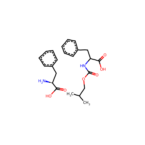 CC(C)COC(=O)NC(Cc1ccccc1)C(=O)O.N[C@@H](Cc1ccccc1)C(=O)O